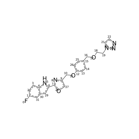 Fc1ccc2[nH]c(-c3nc(COc4ccc(COCCn5ccnn5)cc4)co3)cc2c1